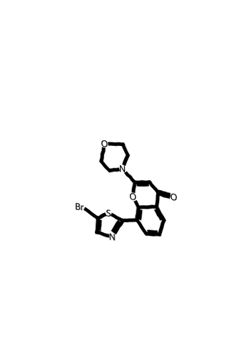 O=c1cc(N2CCOCC2)oc2c(-c3ncc(Br)s3)cccc12